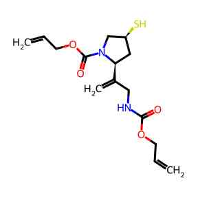 C=CCOC(=O)NCC(=C)[C@@H]1C[C@H](S)CN1C(=O)OCC=C